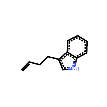 [CH]=CCCc1c[nH]c2ccccc12